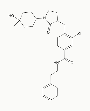 CC1(O)CCC(N2CCC(Cc3ccc(C(=O)NCCc4ccccc4)cc3Cl)C2=O)CC1